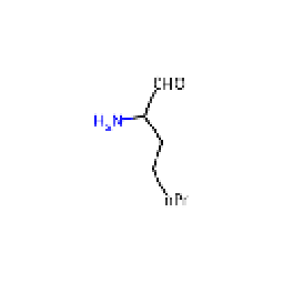 CCCCCC(N)C=O